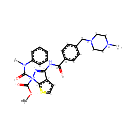 CCCCOC(=O)[N+]1(C(=O)N(CC)c2ccccc2)N=C(NC(=O)c2ccc(CN3CCN(C)CC3)cc2)c2ccsc21